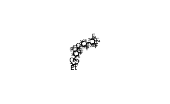 CCC1COC(C2=C[C@H](F)C(C(F)(F)O[C@H]3C=C(F)[C@@H]([C@H]4C=C(F)[C@@H](F)C(F)C4)CC3)C(F)C2)OC1